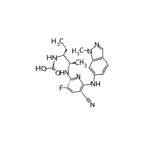 CC[C@H](NC(=O)O)[C@@H](C)Nc1nc(Nc2ccc3cnn(C)c3c2)c(C#N)cc1F